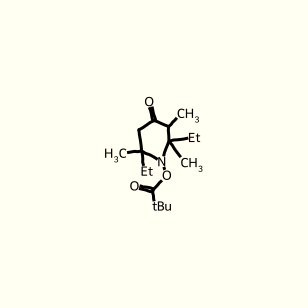 CCC1(C)CC(=O)C(C)C(C)(CC)N1OC(=O)C(C)(C)C